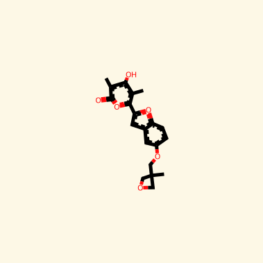 Cc1c(-c2cc3cc(OCC4(C)COC4)ccc3o2)oc(=O)c(C)c1O